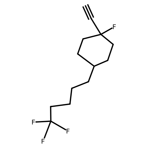 C#CC1(F)CCC(CCCCC(F)(F)F)CC1